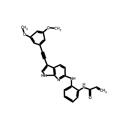 C=CC(=O)Nc1ccccc1Nc1ccc2c(C#Cc3cc(OC)cc(OC)c3)c[nH]c2n1